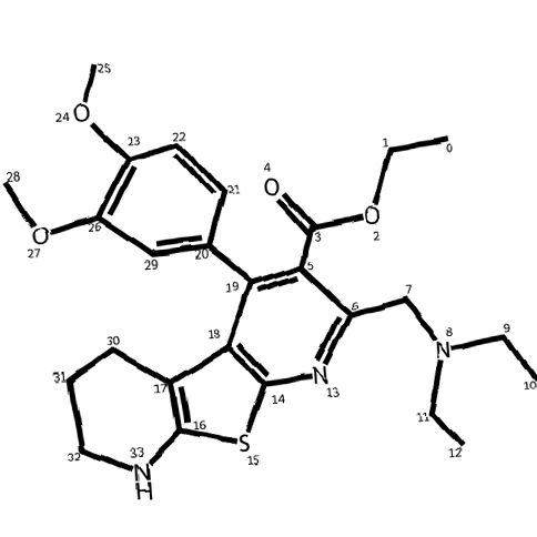 CCOC(=O)c1c(CN(CC)CC)nc2sc3c(c2c1-c1ccc(OC)c(OC)c1)CCCN3